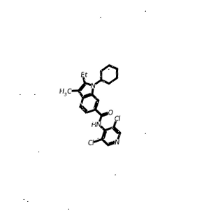 CCc1c(C)c2ccc(C(=O)Nc3c(Cl)cncc3Cl)cc2n1C1CCCCC1